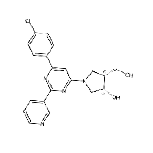 OC[C@H]1CN(c2cc(-c3ccc(Cl)cc3)nc(-c3cccnc3)n2)C[C@H]1O